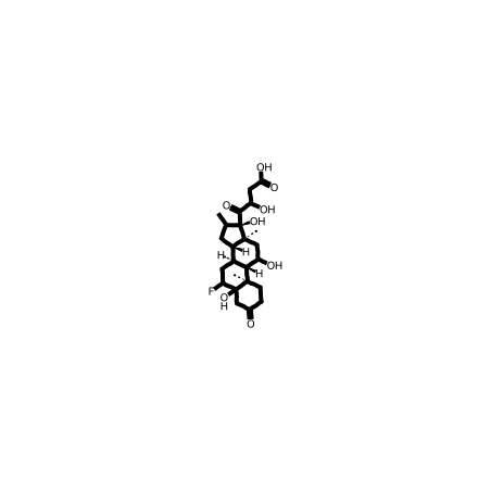 CC1C[C@H]2[C@@H]3CC(F)C4(O)CC(=O)CC[C@]4(C)[C@H]3C(O)C[C@]2(C)[C@@]1(O)C(=O)C(O)CC(=O)O